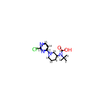 CC(C)(C)N(C(=O)O)C1CCCN(c2ccnc(Cl)n2)C1